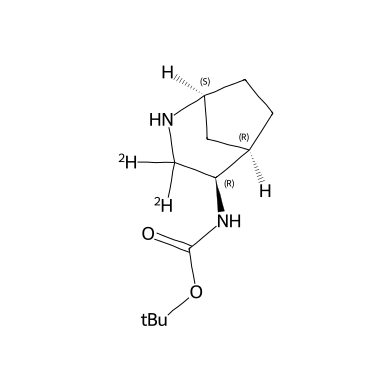 [2H]C1([2H])N[C@H]2CC[C@H](C2)[C@H]1NC(=O)OC(C)(C)C